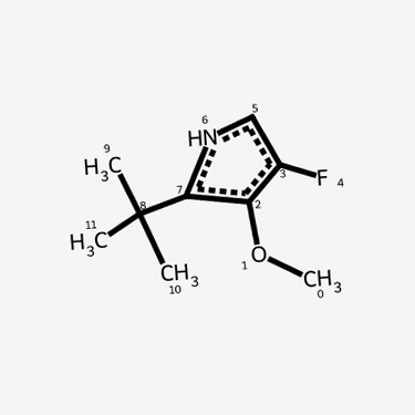 COc1c(F)c[nH]c1C(C)(C)C